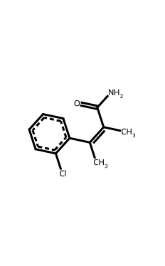 CC(C(N)=O)=C(C)c1ccccc1Cl